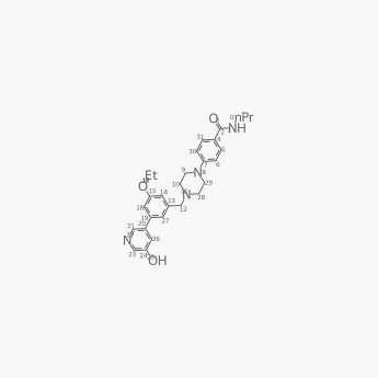 CCCNC(=O)c1ccc(N2CCN(Cc3cc(OCC)cc(-c4cncc(O)c4)c3)CC2)cc1